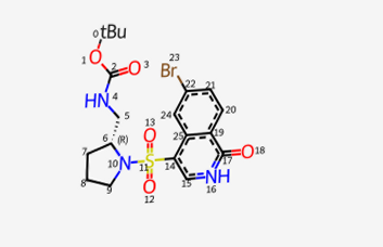 CC(C)(C)OC(=O)NC[C@H]1CCCN1S(=O)(=O)c1c[nH]c(=O)c2ccc(Br)cc12